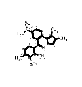 CC1=CCC(c2ccc(N(C)C)cc2C(=N)c2ccc(C)c(C)c2C)=C1C